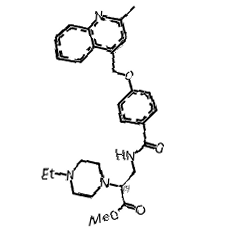 CCN1CCN([C@@H](CNC(=O)c2ccc(OCc3cc(C)nc4ccccc34)cc2)C(=O)OC)CC1